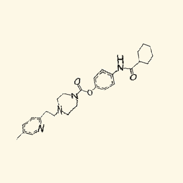 Cc1ccc(CCN2CCN(C(=O)Oc3ccc(NC(=O)C4CCCCC4)cc3)CC2)nc1